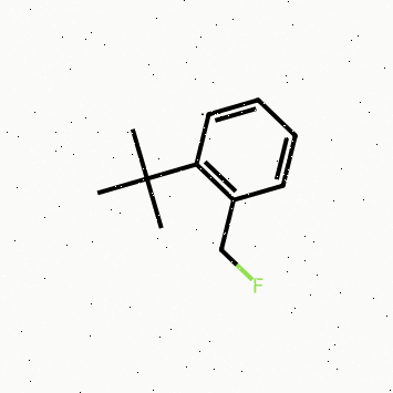 CC(C)(C)c1[c]cccc1CF